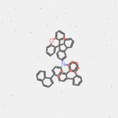 C1=CC2c3cc(N(c4ccc(-c5cccc6ccccc56)cc4)c4ccccc4-c4ccccc4-c4ccccc4-c4ccccc4)ccc3C3(c4ccccc4Oc4ccccc43)C2C=C1